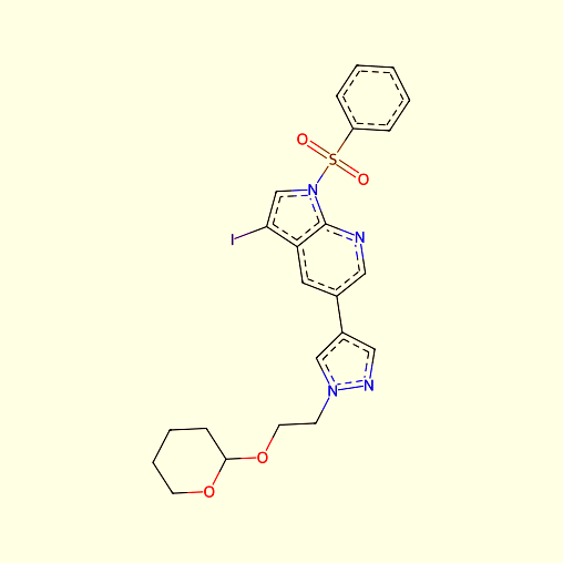 O=S(=O)(c1ccccc1)n1cc(I)c2cc(-c3cnn(CCOC4CCCCO4)c3)cnc21